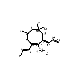 B/C1=C(\C=C\C)CC(C)CC(C)(C)C\C1=C/C=C